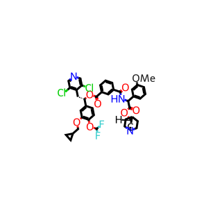 COc1cccc(C(NC(=O)c2cccc(C(=O)O[C@@H](Cc3c(Cl)cncc3Cl)c3ccc(OC(F)F)c(OCC4CC4)c3)c2)C(=O)O[C@H]2CN3CCC2CC3)c1